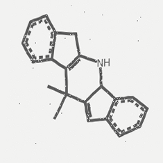 CC1(C)C2=Cc3ccccc3C2NC2=C1c1ccccc1C2